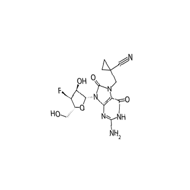 N#CC1(Cn2c(=O)n([C@@H]3O[C@H](CO)[C@@H](F)[C@H]3O)c3nc(N)[nH]c(=O)c32)CC1